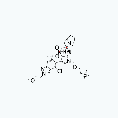 COCCn1cc2c(Cl)c(-c3cn(COCC[Si](C)(C)C)c4nc(N5C6CCC5CC(NC(=O)OC(C)(C)C)C6)cnc34)ccc2n1